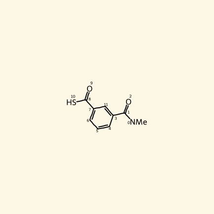 CNC(=O)c1cccc(C(=O)S)c1